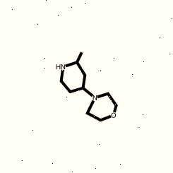 CC1CC(N2CCOCC2)CCN1